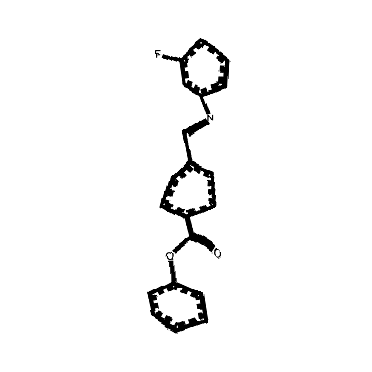 O=C(Oc1ccccc1)c1ccc(C=Nc2cccc(F)c2)cc1